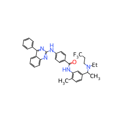 CCN(CCC(F)(F)F)C(C)c1ccc(C)c(NC(=O)c2ccc(Nc3nc(-c4ccccc4)c4ccccc4n3)cc2)c1